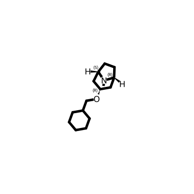 CN1[C@@H]2CC[C@H]1C[C@@H](OCC1CCCCC1)C2